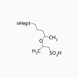 CCCCCCCCCCC(C)OC(C)CS(=O)(=O)O